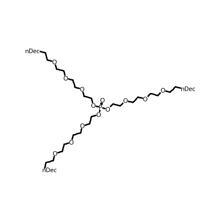 CCCCCCCCCCCCOCCOCCOCCOP(=O)(OCCOCCOCCOCCCCCCCCCCCC)OCCOCCOCCOCCCCCCCCCCCC